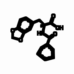 O=C(N[C@@H](Cc1ccc2c(c1)OCO2)C(=O)O)c1ccccc1